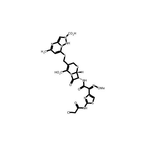 CON=C(C(=O)N[C@@H]1C(=O)N2C(C(=O)O)=C(CSC3=CC(C)=NC4=CN(C(=O)O)NN43)CS[C@H]12)c1csc(NC(=O)CCl)n1